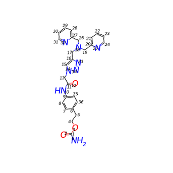 NC(=O)OCCc1ccc(NC(=O)Cn2cc(CN(Cc3ccccn3)Cc3ccccn3)nn2)cc1